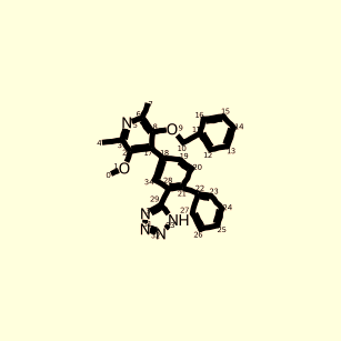 COc1c(C)nc(C)c(OCc2ccccc2)c1-c1ccc(-c2ccccc2)c(-c2nnn[nH]2)c1